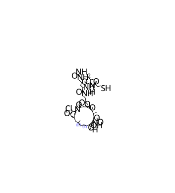 COc1cc2cc(c1Cl)N(C)C(=O)CC(OC(=O)CCNC(=O)C(CCCNC(N)=O)NC(=O)C(NC(=O)CCS)C(C)C)C1(C)OC1C(C)C1CC(O)(NC(=O)O1)C(OC)/C=C/C=C(\C)C2